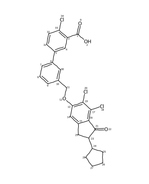 O=C(O)c1cc(-c2cccc(COc3cc4c(c(Cl)c3Cl)C(=O)C(C3CCCC3)C4)c2)ccc1Cl